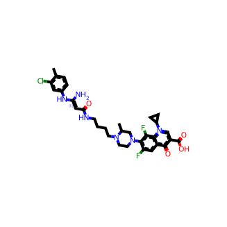 Cc1ccc(N/C(N)=C/C(=O)NCCCCN2CCN(c3c(F)cc4c(=O)c(C(=O)O)cn(C5CC5)c4c3F)CC2C)cc1Cl